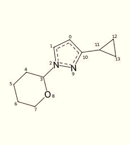 c1cn(C2CCCCO2)nc1C1CC1